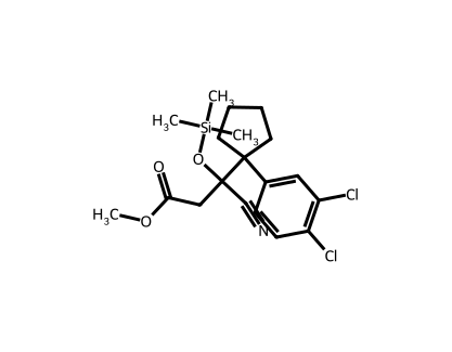 COC(=O)CC(C#N)(O[Si](C)(C)C)C1(c2ccc(Cl)c(Cl)c2)CCCC1